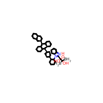 BC(B)(O)C(O)(O)c1nc2ccccc2n1-c1ccccc1-c1ccc(-c2c3ccccc3c(-c3ccc4ccccc4c3)c3ccccc23)cc1